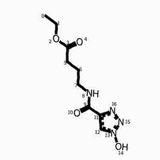 CCOC(=O)CCCNC(=O)c1cn(O)nn1